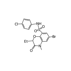 CCC1Oc2c(cc(Br)cc2S(=O)(=O)Nc2ccc(Cl)cc2)N(C)C1=O